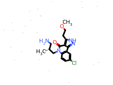 COCCc1[nH]nc2c1c(=O)n(C[C@H](C)CN)c1ccc(Cl)cc21